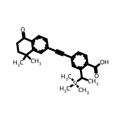 CC(c1cc(C#Cc2ccc3c(c2)C(C)(C)CCC3=O)ccc1C(=O)O)[Si](C)(C)C